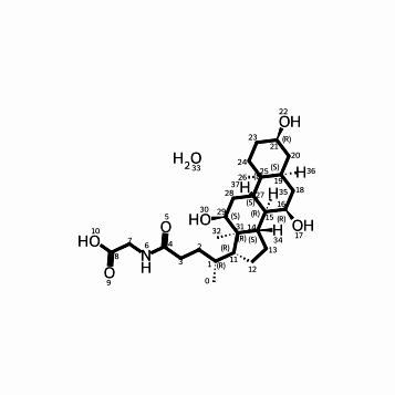 C[C@H](CCC(=O)NCC(=O)O)[C@H]1CC[C@H]2[C@@H]3[C@H](O)C[C@@H]4C[C@H](O)CC[C@]4(C)[C@H]3C[C@H](O)[C@]12C.O